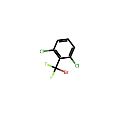 FC(F)(Br)c1c(Cl)cccc1Cl